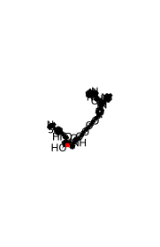 Cc1ccc(-n2nc(N3CCN(CCOCCOCCOCCOCC(=O)N[C@H](CN4C[C@H](O)C[C@H]4C(=O)NCc4ccc(-c5scnc5C)cc4)C(C)(C)C)CC3)cc2NC(=O)c2cnn3cccnc23)nc1